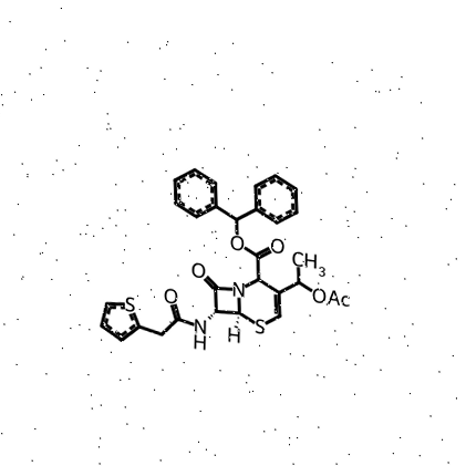 CC(=O)OC(C)C1=CS[C@H]2[C@H](NC(=O)Cc3cccs3)C(=O)N2C1C(=O)OC(c1ccccc1)c1ccccc1